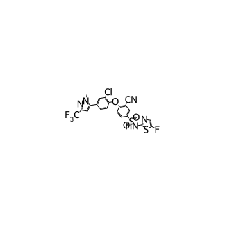 Cn1nc(C(F)(F)F)cc1-c1ccc(Oc2ccc(S(=O)(=O)Nc3ncc(F)s3)cc2C#N)c(Cl)c1